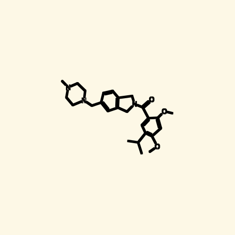 COc1cc(OC)c(C(C)C)cc1C(=O)N1Cc2ccc(CN3CCN(C)CC3)cc2C1